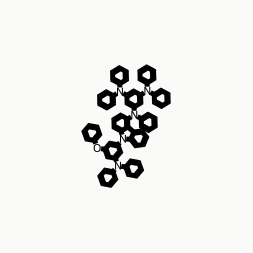 c1ccc(Oc2cc(N(c3ccccc3)c3ccccc3)cc(-n3c4ccccc4c4c(N(c5ccccc5)c5cc(N(c6ccccc6)c6ccccc6)cc(N(c6ccccc6)c6ccccc6)c5)cccc43)c2)cc1